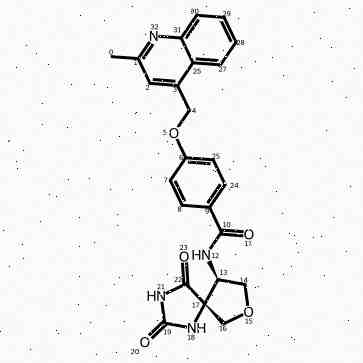 Cc1cc(COc2ccc(C(=O)N[C@H]3COC[C@]34NC(=O)NC4=O)cc2)c2ccccc2n1